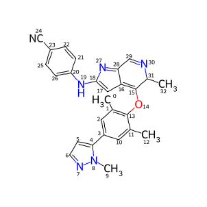 Cc1cc(-c2ccnn2C)cc(C)c1OC1=C2C=C(Nc3ccc(C#N)cc3)N=C2C=NC1C